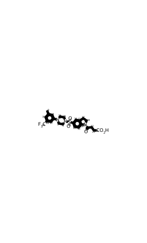 Cc1cc(N2CCN(S(=O)(=O)c3ccc4c(c3)CCN4C(=O)CCC(=O)O)CC2)cc(C(F)(F)F)c1